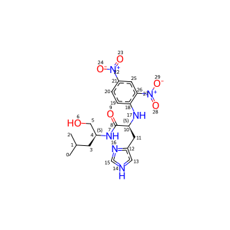 CC(C)C[C@@H](CO)NC(=O)[C@H](Cc1c[nH]cn1)Nc1ccc([N+](=O)[O-])cc1[N+](=O)[O-]